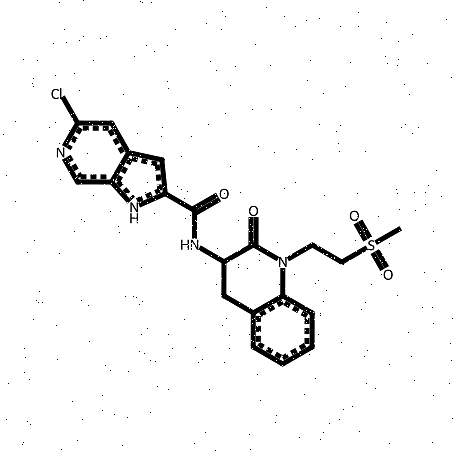 CS(=O)(=O)CCN1C(=O)C(NC(=O)c2cc3cc(Cl)ncc3[nH]2)Cc2ccccc21